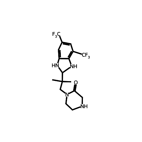 CC(C)(CN1CCNCC1=O)C1Nc2cc(C(F)(F)F)cc(C(F)(F)F)c2N1